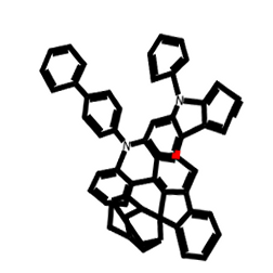 c1ccc(-c2ccc(N(c3ccc4c5ccccc5n(-c5ccccc5)c4c3)c3ccccc3-c3cccc4c3C3(c5ccccc5-4)C4CC5CC(C4)CC3C5)cc2)cc1